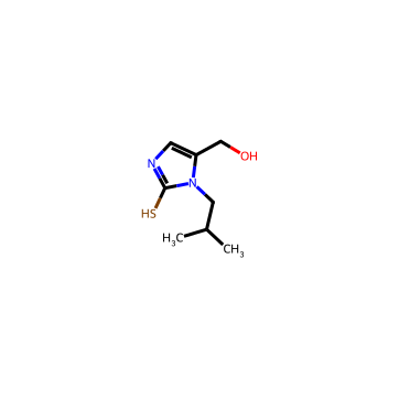 CC(C)Cn1c(CO)cnc1S